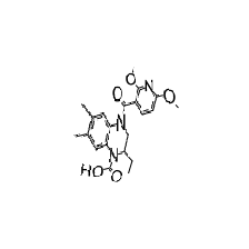 CCC1CN(C(=O)c2ccc(OC)nc2OC)c2cc(C)c(C)cc2N1C(=O)O